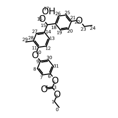 CCOC(=O)Oc1ccc(Oc2ccc(C(OO)c3ccc(OCC)cc3)cc2C)cc1